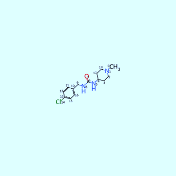 CN1CCC(NC(=O)NCc2ccc(Cl)cc2)CC1